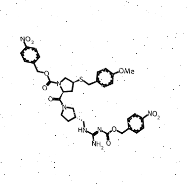 COc1ccc(CS[C@H]2C[C@@H](C(=O)N3CC[C@@H](CNC(N)=NC(=O)OCc4ccc([N+](=O)[O-])cc4)C3)N(C(=O)OCc3ccc([N+](=O)[O-])cc3)C2)cc1